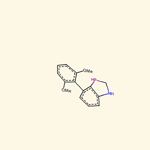 COc1cccc(OC)c1-c1cccc2c1PCN2